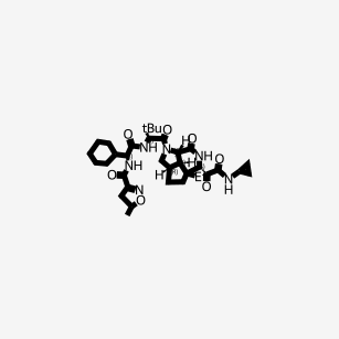 CCC12CC[C@H]3CN(C(=O)[C@@H](NC(=O)[C@@H](NC(=O)C4=NOC(C)C4)C4CCCCC4)C(C)(C)C)[C@H](C(=O)N[C@@H]1C(=O)C(=O)NC1CC1)[C@H]32